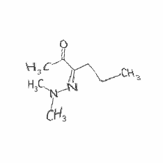 CCCC(=NN(C)C)C(C)=O